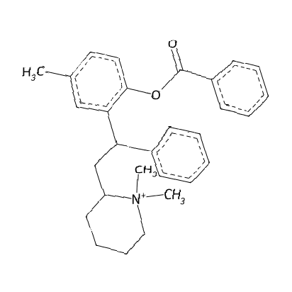 Cc1ccc(OC(=O)c2ccccc2)c(C(CC2CCCC[N+]2(C)C)c2ccccc2)c1